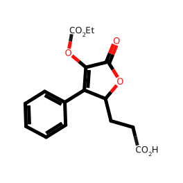 CCOC(=O)OC1=C(c2ccccc2)C(CCC(=O)O)OC1=O